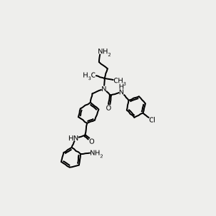 CC(C)(CCN)N(Cc1ccc(C(=O)Nc2ccccc2N)cc1)C(=O)Nc1ccc(Cl)cc1